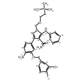 C[Si](C)(C)CCOCn1nc(-c2ccc(N)c(OCc3ccc(F)c(Cl)c3)c2)c(C(N)=O)c1Nc1cnccn1